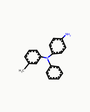 Cc1cccc(N(c2ccccc2)c2ccc(N)cc2)c1